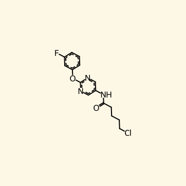 O=C(CCCCCl)Nc1cnc(Oc2cccc(F)c2)nc1